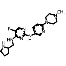 CN1CCN(c2ccc(Nc3ncc(F)c(NCC4CCCN4)n3)cn2)CC1